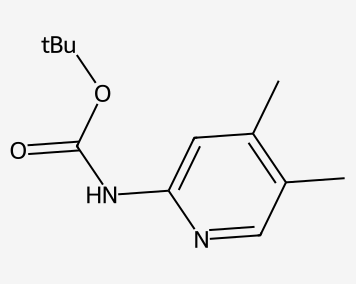 Cc1cnc(NC(=O)OC(C)(C)C)cc1C